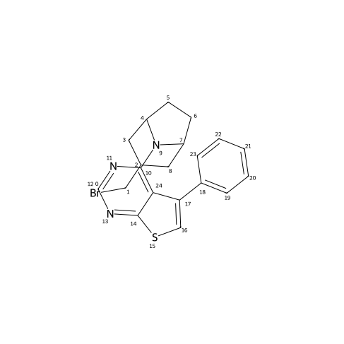 BrCC1CC2CCC(C1)N2c1ncnc2scc(-c3ccccc3)c12